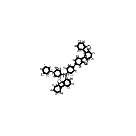 c1ccc(-c2ccc(N(c3ccc(-c4ccc5c(c4)oc4ccc6oc7ccccc7c6c45)cc3)c3cccc4c3oc3ccccc34)cc2)cc1